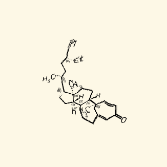 CC[C@H](CC[C@@H](C)[C@H]1CC[C@H]2[C@@H]3CCC4=CC(=O)C=C[C@]4(C)[C@H]3CC[C@]12C)C(C)C